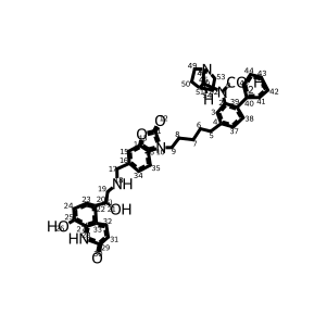 O=C(O)N(c1cc(CCCCCn2c(=O)oc3cc(CNC[C@@H](O)c4ccc(O)c5[nH]c(=O)ccc45)ccc32)ccc1-c1ccccc1)[C@H]1CN2CCC1CC2